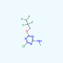 CNc1nc(Cl)nc(OCC(F)(F)C(F)F)n1